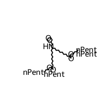 CCCCCC(CCCCC)CCOC(=O)CCCCCCCCC(CCCCCCCCC(=O)OCCC(CCCCC)CCCCC)NCC1CCOCC1